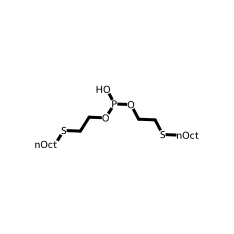 CCCCCCCCSCCOP(O)OCCSCCCCCCCC